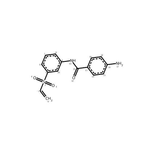 C=CS(=O)(=O)c1cccc(NC(=O)c2ccc(N)cc2)c1